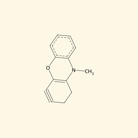 CN1C2=C(C#CCC2)Oc2ccccc21